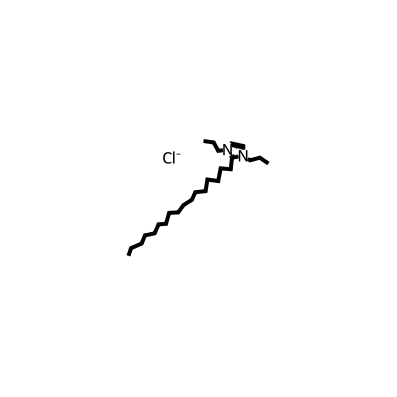 CCCCCCCCCCCCCCCCCc1n(CCC)cc[n+]1CCC.[Cl-]